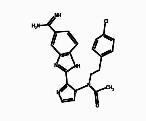 CC(=O)N(CCc1ccc(Cl)cc1)n1ccnc1-c1nc2cc(C(=N)N)ccc2[nH]1